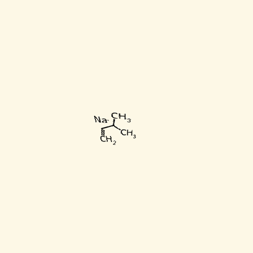 C=CC(C)C.[Na]